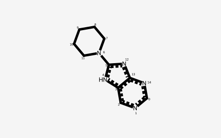 c1ncc2[nH]c(N3CCCCC3)nc2n1